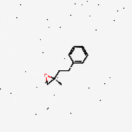 C[C@@]1(CCc2ccccc2)CO1